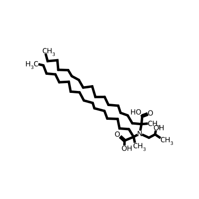 CCCCCCCCCCCCCCCCC(C)(C(=O)O)N(CC(C)O)C(C)(CCCCCCCCCCCCCCCC)C(=O)O